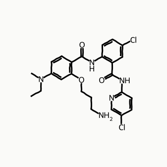 CCN(C)c1ccc(C(=O)Nc2ccc(Cl)cc2C(=O)Nc2ccc(Cl)cn2)c(OCCCN)c1